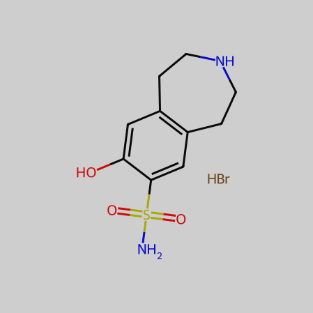 Br.NS(=O)(=O)c1cc2c(cc1O)CCNCC2